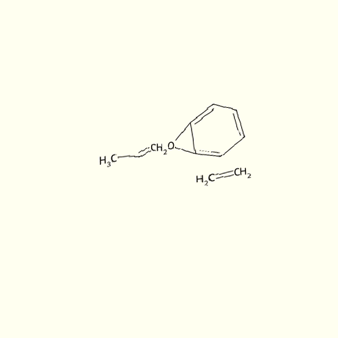 C=C.C=CC.c1ccc2c(c1)O2